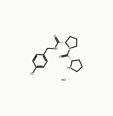 Cl.O=C(NCc1ccc(Cl)cc1)[C@@H]1CCCN1C(=O)[C@@H]1CCCN1